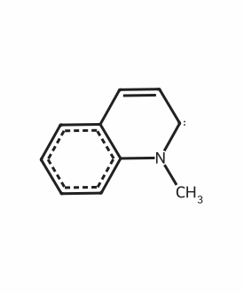 CN1[C]C=Cc2ccccc21